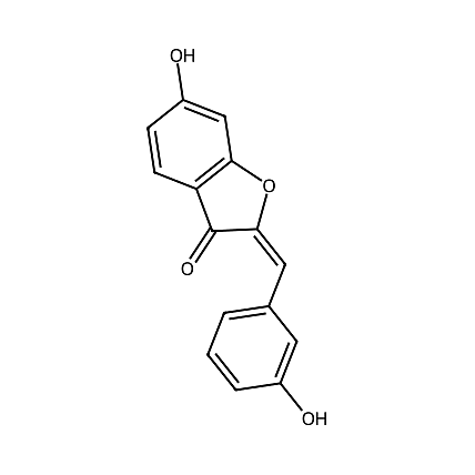 O=C1C(=Cc2cccc(O)c2)Oc2cc(O)ccc21